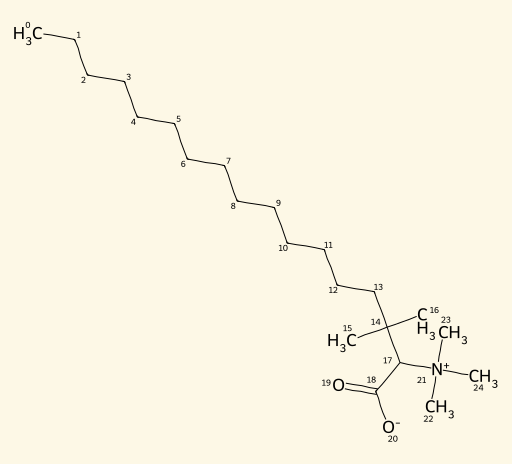 CCCCCCCCCCCCCCC(C)(C)C(C(=O)[O-])[N+](C)(C)C